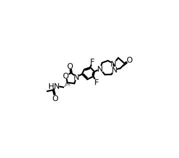 CC(=O)NC[C@H]1CN(c2cc(F)c(N3CCN4CC(=O)CN4CC3)c(F)c2)C(=O)O1